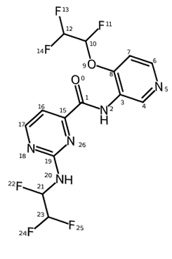 O=C(Nc1cnccc1OC(F)C(F)F)c1ccnc(NC(F)C(F)F)n1